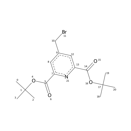 CC(C)(C)OC(=O)c1cc(CBr)cc(C(=O)OC(C)(C)C)n1